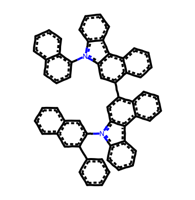 c1ccc(-c2cc3ccccc3cc2-n2c3ccccc3c3c4ccccc4c(-c4cc5c(c6ccccc46)c4ccccc4n5-c4cccc5ccccc45)cc32)cc1